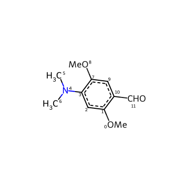 COc1cc(N(C)C)c(OC)cc1C=O